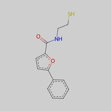 O=C(NCCS)c1ccc(-c2ccccc2)o1